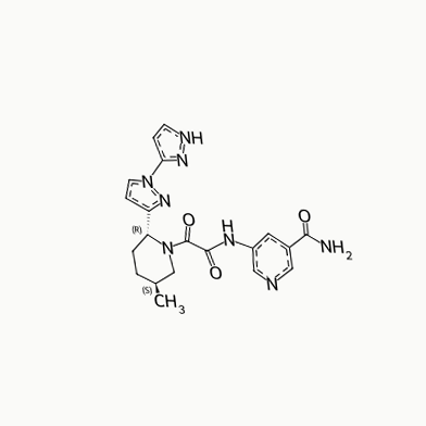 C[C@H]1CC[C@H](c2ccn(-c3cc[nH]n3)n2)N(C(=O)C(=O)Nc2cncc(C(N)=O)c2)C1